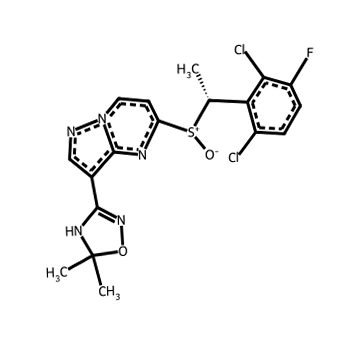 C[C@H](c1c(Cl)ccc(F)c1Cl)[S+]([O-])c1ccn2ncc(C3=NOC(C)(C)N3)c2n1